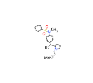 CCC(c1ccc(N(C)S(=O)(=O)c2ccccc2)cc1)c1cccn1CCOC